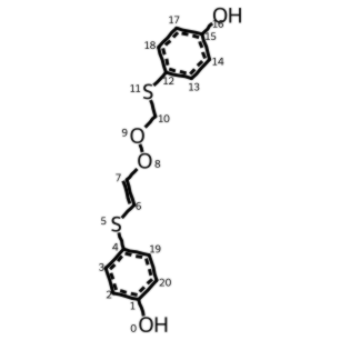 Oc1ccc(SC=COOCSc2ccc(O)cc2)cc1